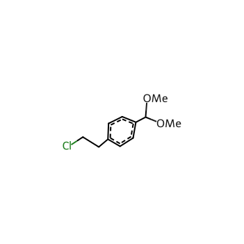 COC(OC)c1ccc(CCCl)cc1